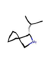 CC(C)[C@@H]1NCC12CC2